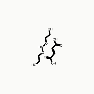 O=C(O)C=CC(=O)O.OCCONOCCO